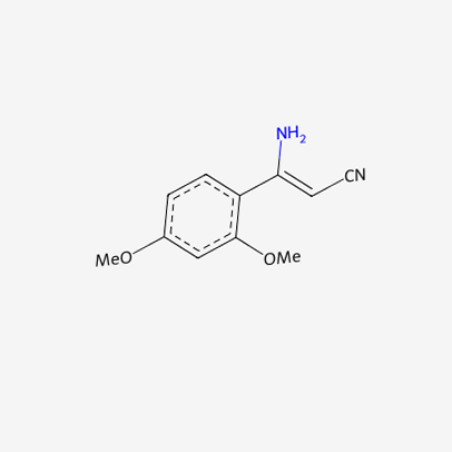 COc1ccc(C(N)=CC#N)c(OC)c1